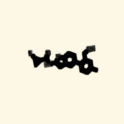 Cc1ccc(-c2ccc3nc(NC(=O)C4CC4F)cn3c2)c(CO)c1